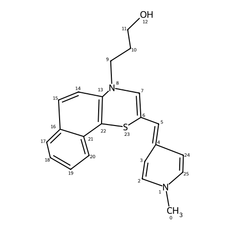 CN1C=CC(=CC2=CN(CCCO)c3ccc4ccccc4c3S2)C=C1